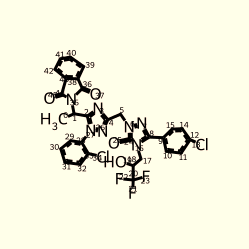 CC(c1nc(Cn2nc(-c3ccc(Cl)cc3)n(CC(O)C(F)(F)F)c2=O)nn1-c1ccccc1Cl)N1C(=O)c2ccccc2C1=O